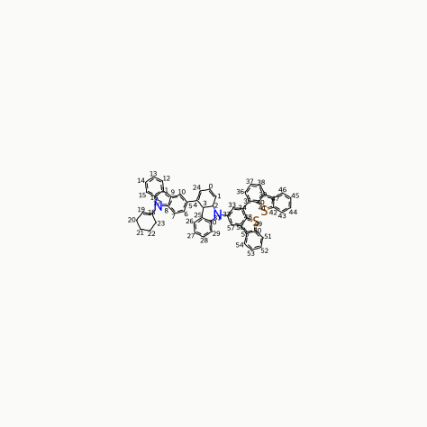 C1=CC2C(C(c3ccc4c(c3)c3ccccc3n4C3=CCCCC3)=C1)c1ccccc1N2c1cc(-c2cccc3c2sc2ccccc23)c2sc3ccccc3c2c1